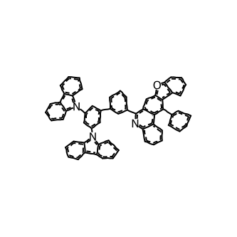 c1ccc(-c2c3c(cc4c(-c5cccc(-c6cc(-n7c8ccccc8c8ccccc87)cc(-n7c8ccccc8c8ccccc87)c6)c5)nc5ccccc5c24)oc2ccccc23)cc1